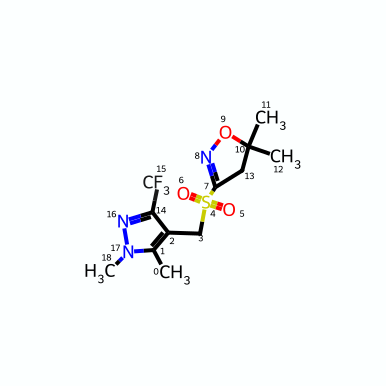 Cc1c(CS(=O)(=O)C2=NOC(C)(C)C2)c(C(F)(F)F)nn1C